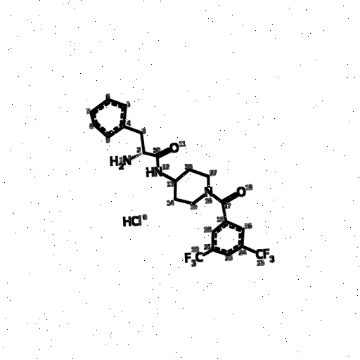 Cl.N[C@H](Cc1ccccc1)C(=O)NC1CCN(C(=O)c2cc(C(F)(F)F)cc(C(F)(F)F)c2)CC1